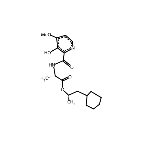 COc1ccnc(C(=O)N[C@@H](C)C(=O)O[C@@H](C)CC2CCCCC2)c1O